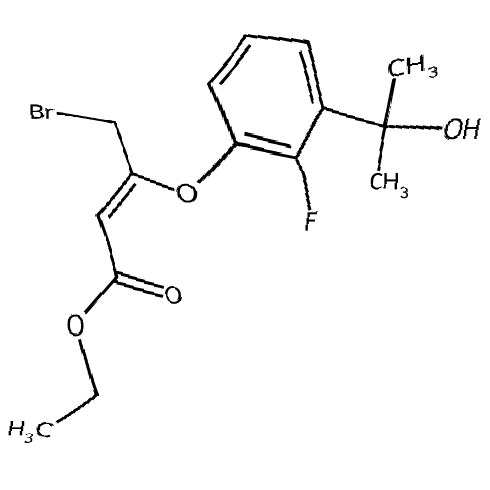 CCOC(=O)/C=C(/CBr)Oc1cccc(C(C)(C)O)c1F